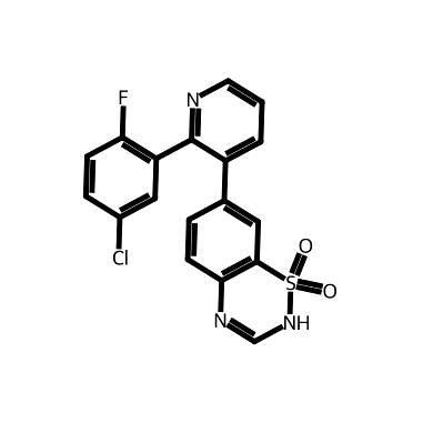 O=S1(=O)NC=Nc2ccc(-c3cccnc3-c3cc(Cl)ccc3F)cc21